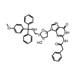 COc1ccc(C(NC[C@H]2O[C@@H](n3cnc4c(=O)[nH]c(NC(=O)Cc5ccccc5)nc43)C[C@@H]2O)(c2ccccc2)c2ccccc2)cc1